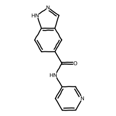 O=C(Nc1cccnc1)c1ccc2[nH]ncc2c1